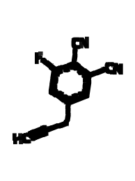 C#CCc1cc(F)c(C#N)c(C#N)c1